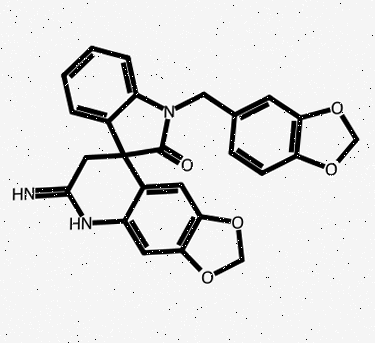 N=C1CC2(C(=O)N(Cc3ccc4c(c3)OCO4)c3ccccc32)c2cc3c(cc2N1)OCO3